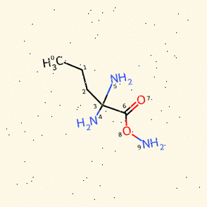 CCCC(N)(N)C(=O)ON